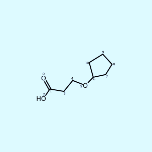 O=C(O)CCOC1CCCC1